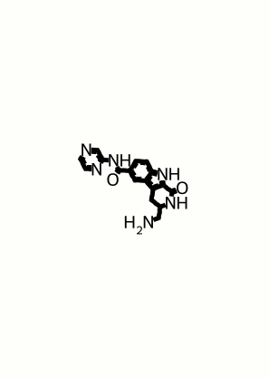 NCC1Cc2c([nH]c3ccc(C(=O)Nc4cnccn4)cc23)C(=O)N1